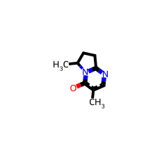 Cc1cnc2n(c1=O)C(C)CC2